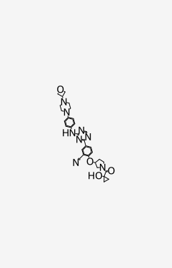 N#Cc1cc(-c2ncnc(Nc3ccc(N4CCN(C5COC5)CC4)cc3)n2)ccc1OC1CCN(C(=O)C2(O)CC2)C1